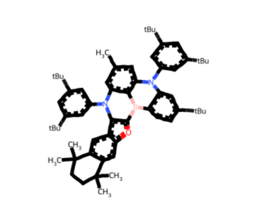 Cc1cc2c3c(c1)N(c1cc(C(C)(C)C)cc(C(C)(C)C)c1)c1c(oc4cc5c(cc14)C(C)(C)CCC5(C)C)B3c1ccc(C(C)(C)C)cc1N2c1cc(C(C)(C)C)cc(C(C)(C)C)c1